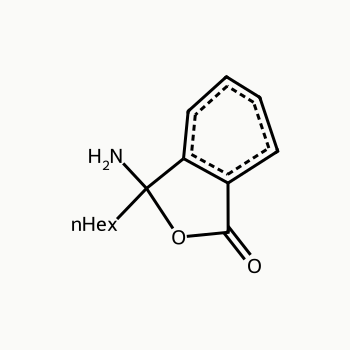 CCCCCCC1(N)OC(=O)c2ccccc21